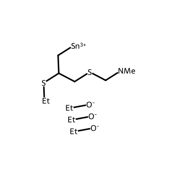 CCSC([CH2][Sn+3])CSCNC.CC[O-].CC[O-].CC[O-]